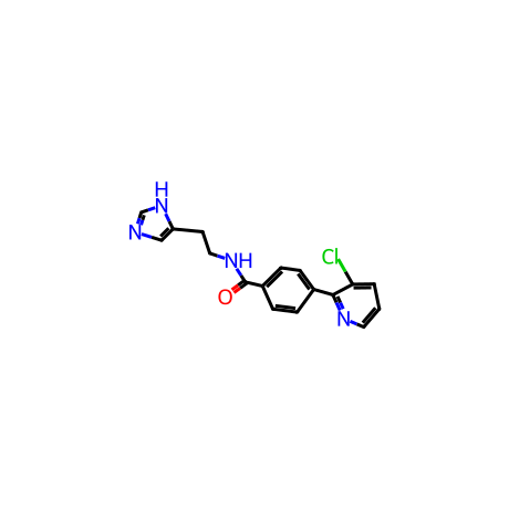 O=C(NCCc1cnc[nH]1)c1ccc(-c2ncccc2Cl)cc1